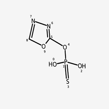 OP(O)(=S)Oc1nnco1